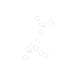 C1=CC(c2ccc(-c3nc(-c4ccccc4)cc(-c4ccccc4)n3)cc2)CC=C1c1cc(-c2ccc3ccccc3c2)nc2c1ccc1ccc(-c3ccccc3)nc12